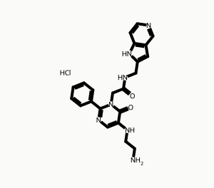 Cl.NCCNc1cnc(-c2ccccc2)n(CC(=O)NCc2cc3cnccc3[nH]2)c1=O